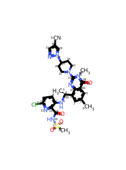 Cc1cc([C@@H](C)Nc2ccc(Cl)nc2C(=O)NS(C)(=O)=O)c2nc(N3CCC(n4cc(C#N)cn4)CC3)n(C)c(=O)c2c1